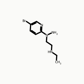 CCNCCN(N)c1ccc(Br)cn1